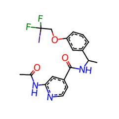 CC(=O)Nc1cc(C(=O)NC(C)c2cccc(OCC(F)(F)I)c2)ccn1